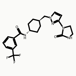 O=C(N[C@H]1CC[C@H](Cn2ccc(N3CCNC3=O)n2)CC1)c1cccc(C(F)(F)F)c1